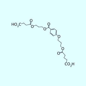 O=C(O)CCCC(=O)OCCCOc1ccc(C(=O)OCCCOC(=O)CCC(=O)O)cc1